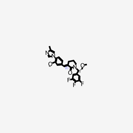 COC[C@H](c1cc(F)c(F)c(F)c1)N1CCC/C(=C\c2ccc(-n3cnc(C)c3)c(OC)c2)C1=O